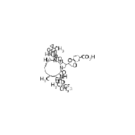 C[C@H]1CC/C=C\[C@@H]2C[C@@]2(C(=O)NS(=O)(=O)C2(C)CC2)NC(=O)[C@@H]2C[C@@H](C3COc4cc(C(=O)O)ccc4O3)CN2C(=O)[C@@H](NC(=O)OC(C)(C)C(F)(F)F)[C@H](C)C1